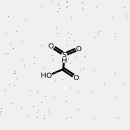 O=C(O)[SH](=O)=O